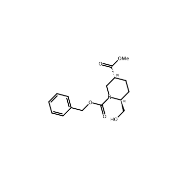 COC(=O)[C@@H]1CC[C@@H](CO)N(C(=O)OCc2ccccc2)C1